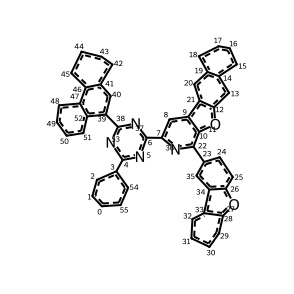 c1ccc(-c2nc(-c3cc4c(oc5cc6ccccc6cc54)c(-c4ccc5oc6ccccc6c5c4)n3)nc(-c3cc4ccccc4c4ccccc34)n2)cc1